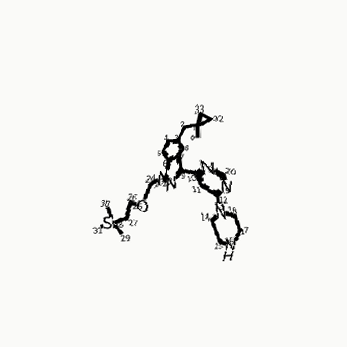 CC1(Cc2ccc3c(c2)c(-c2cc(N4CCNCC4)ncn2)nn3COCC[Si](C)(C)C)CC1